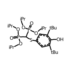 CC(C)OP(=O)(OC(C)C)C(Sc1cc(C(C)(C)C)c(O)c(C(C)(C)C)c1)P(=O)(OC(C)C)OC(C)C